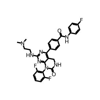 CN(C)CCNc1nc(-c2ccc(C(=O)Nc3ccc(F)cc3)cc2)c2c(n1)N(c1c(F)cccc1F)C(=O)NC2